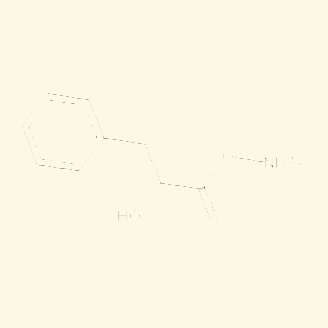 CC(=O)NOC(=O)C(O)Cc1ccccc1